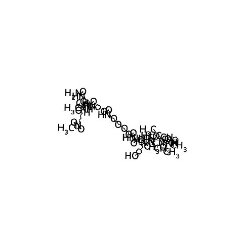 CCCO[C@H](C[C@H](C(C)C)N(CCC)C(=O)[C@@H](NC(=O)[C@H]1CCCCN1C)[C@@H](C)CC)c1nc(C(=O)N[C@@H](Cc2ccc(O)cc2)C[C@H](C)C(=O)NNC(=O)OCCOCCOCCOCCNC(=O)OCc2ccc(NC(=O)[C@H](CCCNC(N)=O)NC(=O)[C@@H](NC(=O)CCCCCN3C(=O)CC(C)C3=O)C(C)C)cc2)cs1